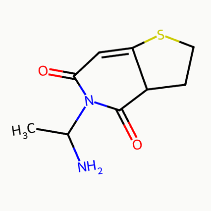 CC(N)N1C(=O)C=C2SCCC2C1=O